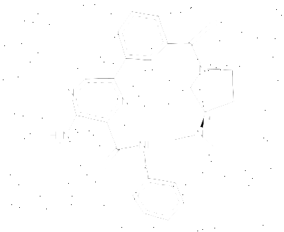 CN(C)[C@@H]1CCN(C(=O)c2cccc(-c3cnc(N)c(C(=O)Nc4ccccc4)n3)c2)C1